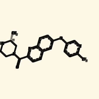 C[C@@H]1CN(C(=O)c2ccc3cc(Oc4ccc(C(F)(F)F)nc4)ccc3n2)CCN1